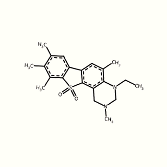 CCN1CN(C)Cc2c1c(C)cc1c2S(=O)(=O)c2c-1cc(C)c(C)c2C